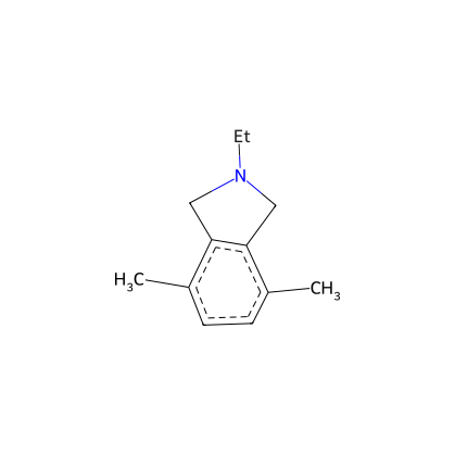 CCN1Cc2c(C)ccc(C)c2C1